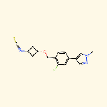 Cn1cc(-c2ccc(CO[C@H]3C[C@H](N=C=S)C3)c(F)c2)cn1